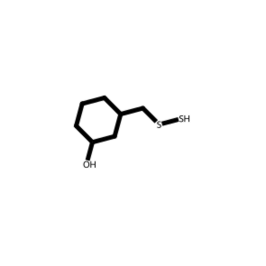 OC1CCCC(CSS)C1